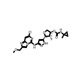 COCc1cn2c(Nc3cc([C@H]4OC[C@@H](OC(=O)NC5(C)CC5)[C@@H]4F)[nH]n3)nc(Cl)cc2n1